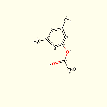 Cc1cc(C)cc(OC(=O)C=O)c1